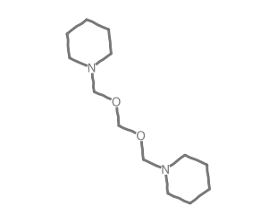 C1CCN(COCOCN2CCCCC2)CC1